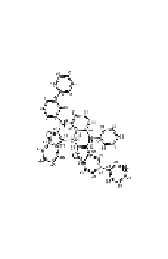 c1ccc(-c2cccc(N3c4cccc5c4B(c4oc6ccc(-c7cccnc7)cc6c4N5c4ccccc4)c4c3oc3ccccc43)c2)cc1